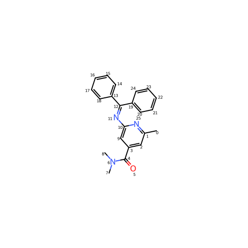 Cc1cc(C(=O)N(C)C)cc(N=C(c2ccccc2)c2ccccc2)n1